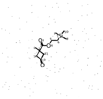 CC1(C(=O)OCC[Si](C)(C)C)CC(=O)C1